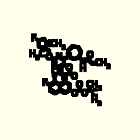 C#Cc1c(F)ccc2cc(OC(=O)OC(C)C)cc(N3Cc4nc(OC[C@]5(C)C[C@@H](F)CN5C)nc(N5CCCCC(NC(=O)C=C)C5)c4OC3=O)c12